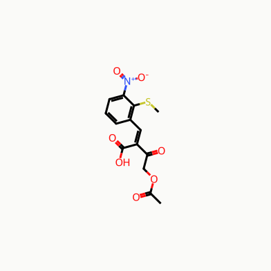 CSc1c(C=C(C(=O)O)C(=O)COC(C)=O)cccc1[N+](=O)[O-]